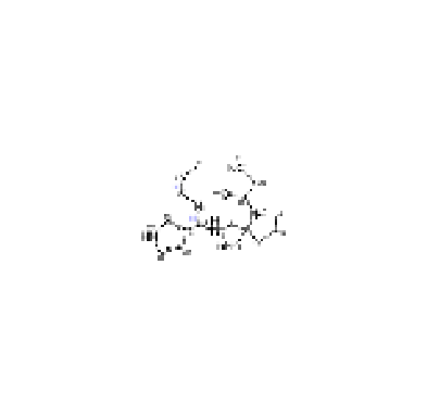 CCCC1(CN/C(=N/C=N\C)c2cc[nH]c2)CCCN1C(=O)CC#N